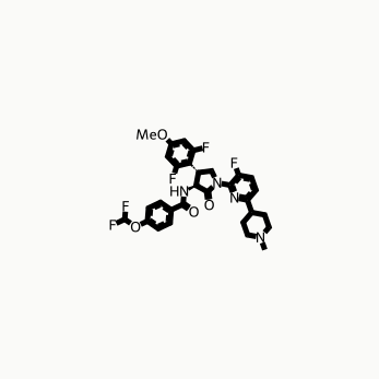 COc1cc(F)c([C@@H]2CN(c3nc(C4CCN(C)CC4)ccc3F)C(=O)[C@H]2NC(=O)c2ccc(OC(F)F)cc2)c(F)c1